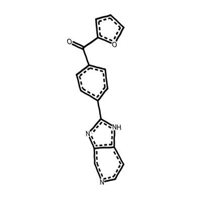 O=C(c1ccc(-c2nc3cnccc3[nH]2)cc1)c1ccco1